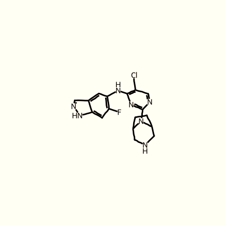 Fc1cc2[nH]ncc2cc1Nc1nc(N2C3CCC2CNC3)ncc1Cl